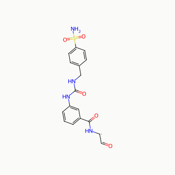 NS(=O)(=O)c1ccc(CNC(=O)Nc2cccc(C(=O)N[CH]C=O)c2)cc1